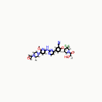 COc1nc(Nc2nccc(-c3ccc(O[C@H]4CCN(C(=O)[C@H](C)O)CC4(F)F)c(C#N)c3)n2)ccc1N1CCN(C2COC2)[C@@H](C)C1